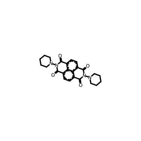 O=C1c2ccc3c4c(ccc(c24)C(=O)N1N1CCCCC1)C(=O)N(N1CCCCC1)C3=O